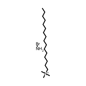 CCCCCCCCCCCCCCCC[N+](C)(C)C.NBr